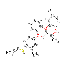 CCc1ccc(O[C@H](C)CCOc2ccc(SCC(=O)O)c(C)c2)c(Oc2ccccc2)c1